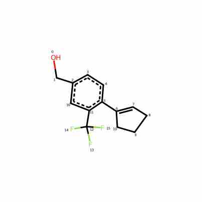 OCc1ccc(C2=CCCC2)c(C(F)(F)F)c1